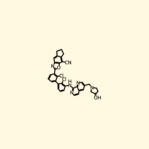 N#Cc1c2c(cc3nc(-c4cccc(-c5cccc(Nc6nccc7cc(CN8CC[C@@H](O)C8)cnc67)c5Cl)c4Cl)oc13)CCC2